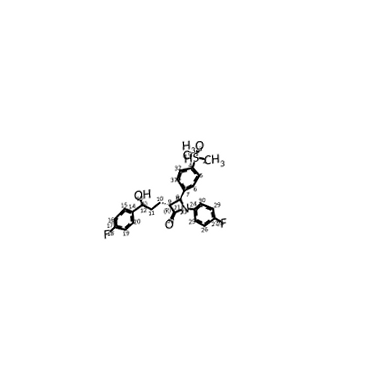 C[SH](C)(=O)c1ccc([C@@H]2[C@@H](CC[C@H](O)c3ccc(F)cc3)C(=O)N2c2ccc(F)cc2)cc1